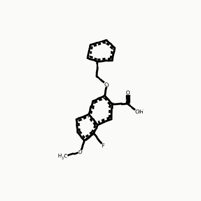 COc1ccc2cc(OCc3ccccc3)c(C(=O)O)cc2c1F